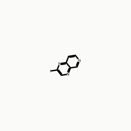 Ic1cnc2cnccc2n1